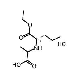 CCC[C@H](NC(C)C(=O)O)C(=O)OCC.Cl